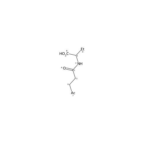 CCC(NC(=O)CCC(C)=O)C(=O)O